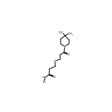 CCNC(=O)CCOCCC(=O)N1CCC(C)(C)CC1